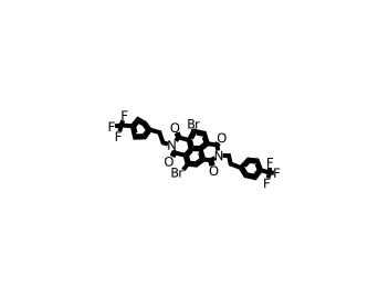 O=C1c2cc(Br)c3c4c(c(Br)cc(c24)C(=O)N1CCc1ccc(C(F)(F)F)cc1)C(=O)N(CCc1ccc(C(F)(F)F)cc1)C3=O